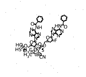 CC(C)(C)[Si](C)(C)O[C@H]1[C@@H](OP(=S)(OCCC#N)OC[C@@H]2C[C@@H](F)[C@H](n3cnc4c(NC(=O)c5ccccc5)ncnc43)O2)[C@H](n2cnc3c(NC(=O)c4ccccc4)ncnc32)O[C@@H]1COP(=O)(O)S